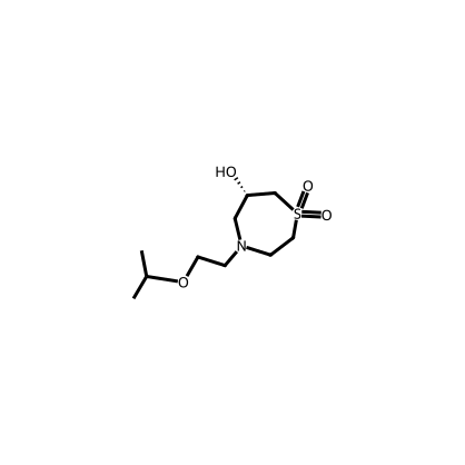 CC(C)OCCN1CCS(=O)(=O)C[C@@H](O)C1